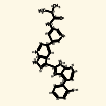 CN(C)C(=O)Nc1cncc(-c2cnc3[nH]nc(-c4nc5c(-c6ccccc6F)ccnc5[nH]4)c3c2)c1